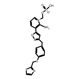 Nc1c(-c2cc(Cc3ccc(OCc4nccs4)cc3)no2)ccc[n+]1COP(=O)([O-])O